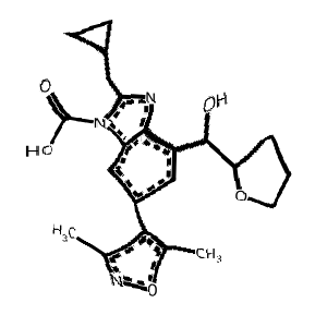 Cc1noc(C)c1-c1cc(C(O)C2CCCO2)c2nc(C3CC3)n(C(=O)O)c2c1